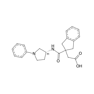 O=C(O)CC1(C(=O)N[C@@H]2CCN(c3ccccc3)C2)Cc2ccccc2C1